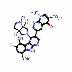 CNc1cc(F)c(C#N)c2c1[nH]c1ncc(-c3cnc4c(c3)c(=O)c(C(=O)O)cn4C)c(N3C[C@@H]4CCN(C)[C@@H]4C3)c12